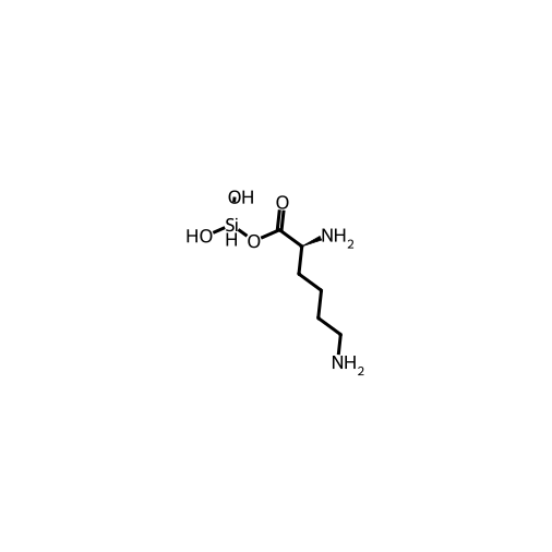 NCCCC[C@H](N)C(=O)O[SiH](O)O